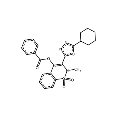 CN1C(c2nnc(C3CCCCC3)o2)=C(OC(=O)c2ccccc2)c2ccccc2S1(=O)=O